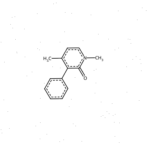 Cc1ccn(C)c(=O)c1-c1ccccc1